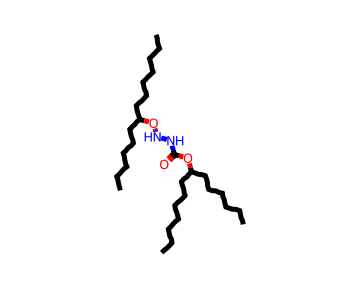 CCCCCCCC(CCCCCC)ONNC(=O)OC(CCCCCC)CCCCCCC